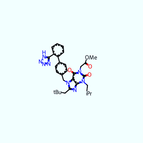 COC(=O)Cn1c(=O)c2c(nc(CC(C)(C)C)n2Cc2ccc(-c3ccccc3-c3nnn[nH]3)cc2)n(CC(C)C)c1=O